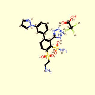 NCCS(=O)(=O)c1ccc(-c2cccc(-n3cccn3)c2)c(-c2nnn[nH]2)c1S(N)(=O)=O.O=C(O)C(F)(F)F